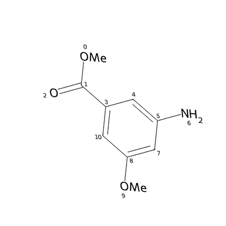 COC(=O)c1cc(N)cc(OC)c1